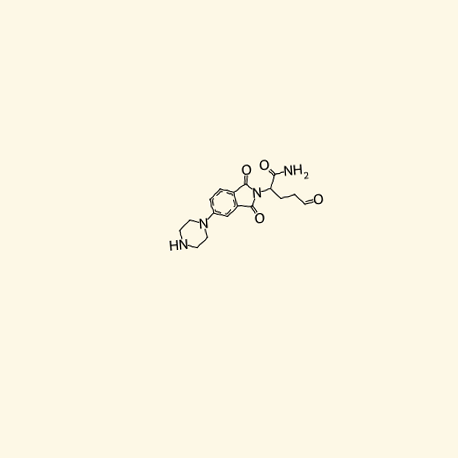 NC(=O)C(CCC=O)N1C(=O)c2ccc(N3CCNCC3)cc2C1=O